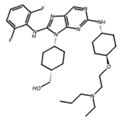 CCCN(CC)CCO[C@H]1CC[C@H](Nc2ncc3nc(Nc4c(F)cccc4F)n([C@H]4CC[C@@H](CO)CC4)c3n2)CC1